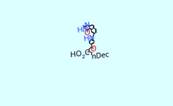 CCCCCCCCCCCCC(CC(=O)c1ccc(NCc2ccc3ccc4nc(C)[nH]c(=O)c4c3c2)cc1)C(=O)O